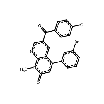 Cn1c(=O)cc(-c2cccc(Br)c2)c2cc(C(=O)c3ccc(Cl)cc3)cnc21